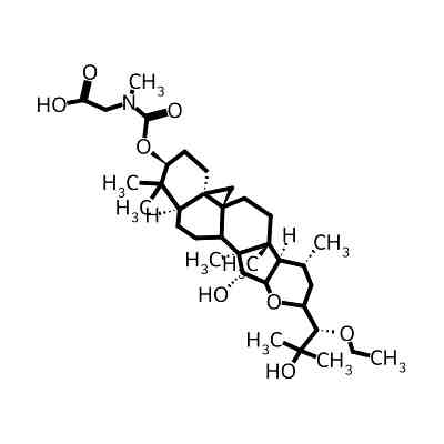 CCO[C@@H](C1C[C@@H](C)[C@H]2C(O1)[C@H](O)[C@@]1(C)C3CC[C@H]4C(C)(C)[C@@H](OC(=O)N(C)CC(=O)O)CC[C@@]45C[C@@]35CC[C@]21C)C(C)(C)O